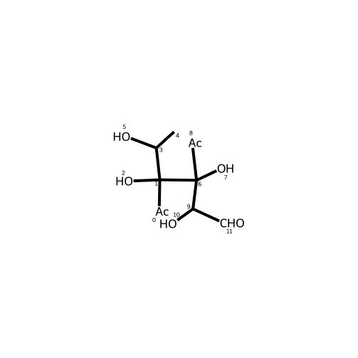 CC(=O)C(O)(C(C)O)C(O)(C(C)=O)C(O)C=O